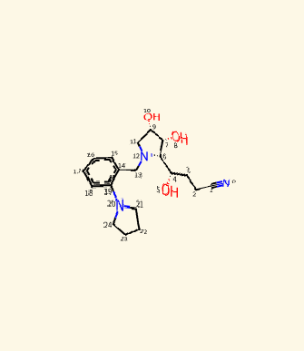 N#CCC[C@H](O)[C@H]1[C@@H](O)[C@@H](O)CN1Cc1ccccc1N1CCCC1